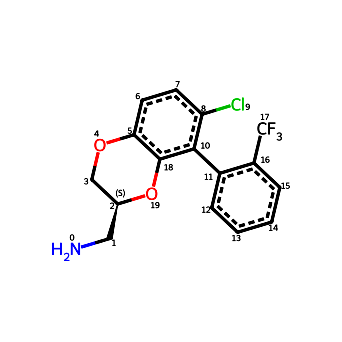 NC[C@H]1COc2ccc(Cl)c(-c3ccccc3C(F)(F)F)c2O1